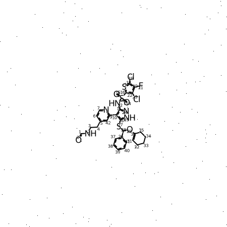 O=CNCCc1ccnc(-c2c(NS(=O)(=O)c3sc(Cl)c(F)c3Cl)n[nH]c2SC(OC2=CCCCC2)c2ccccc2)c1